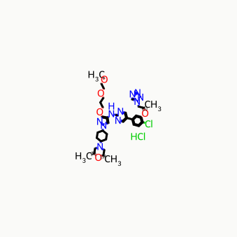 COCCOCCCOc1nn(C2CCC(N3C[C@@H](C)O[C@@H](C)C3)CC2)cc1Nc1ncc(-c2ccc(Cl)c(O[C@@H](C)Cn3cnnn3)c2)cn1.Cl